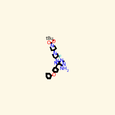 CC(C)(C)OC(=O)N1CCC(N2CCC(n3nc(-c4ccc(Oc5ccccc5)cc4)c4c(N)ncnc43)[C@H](F)C2)CC1